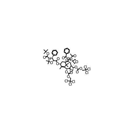 CC(=O)OC1([C@H]2[C@H](OC(=O)c3ccccc3)[C@]3(O)C[C@H](OC(=O)C4OC(C)(C)N(C(=O)OC(C)(C)C)[C@H]4c4ccccc4)C(C)=C([C@@H](OC(=O)OCC(Cl)(Cl)Cl)C(=O)[C@]2(C)[C@H](C)OC(=O)OCC(Cl)(Cl)Cl)C3(C)C)COC1